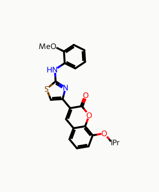 COc1ccccc1Nc1nc(-c2cc3cccc(OC(C)C)c3oc2=O)cs1